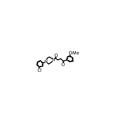 COc1cccc(C(=O)CCC(=O)N2CCN(c3cccc(Cl)c3)CC2)c1